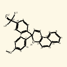 COc1ccc(C2(c3ccc(C(F)(F)F)cc3)C=Cc3c(ccc4ccccc34)O2)cc1